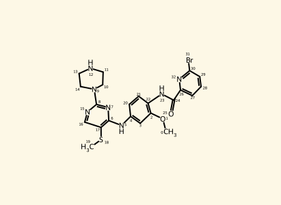 COc1cc(Nc2nc(N3CCNCC3)ncc2SC)ccc1NC(=O)c1cccc(Br)n1